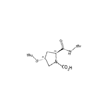 CC(C)(C)NC(=O)[C@@H]1C[C@@H](OC(C)(C)C)CN1C(=O)O